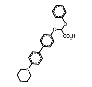 O=C(O)C(Oc1ccccc1)Oc1ccc(-c2ccc(N3CCCCC3)cc2)cc1